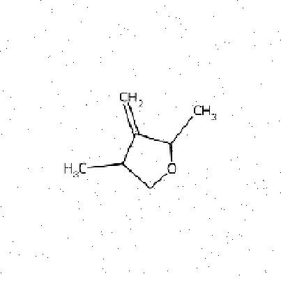 C=C1C(C)COC1C